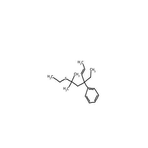 [CH2]C=CC(CC)(CC(C)(C)SCC)c1ccccc1